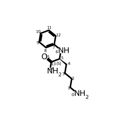 NCCCC[C@H](Nc1ccccc1)C(N)=O